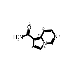 NC(=O)c1ccn2cnccc12